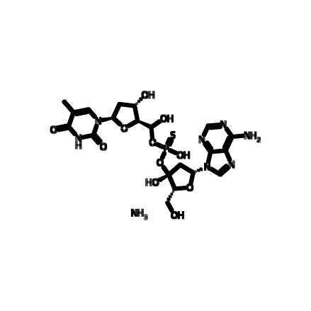 Cc1cn([C@H]2C[C@H](O)[C@@H](C(O)OP(O)(=S)O[C@]3(O)C[C@H](n4cnc5c(N)ncnc54)O[C@@H]3CO)O2)c(=O)[nH]c1=O.N